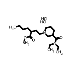 BOC(=O)C(CCCC)CCN1CCCC(C(=O)N(CC)CC)C1.Cl.Cl